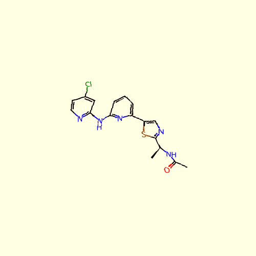 CC(=O)N[C@@H](C)c1ncc(-c2cccc(Nc3cc(Cl)ccn3)n2)s1